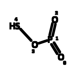 O=P(=O)OS